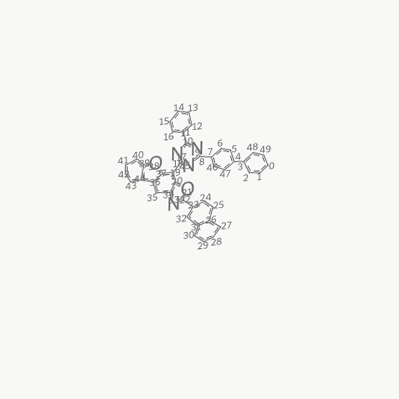 c1ccc(-c2ccc(-c3nc(-c4ccccc4)nc(-c4c5oc(-c6ccc7ccccc7c6)nc5cc5c4oc4ccccc45)n3)cc2)cc1